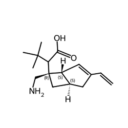 C=CC1=C[C@@H]2[C@@H](C1)C[C@]2(CN)C(C(=O)O)C(C)(C)C